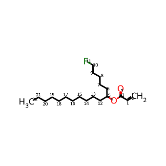 C=CC(=O)OC(CCCCCF)CCCCCCCCCCC